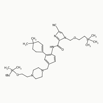 CC1(C)CC=C(c2cc(CN3CCN(CCO[Si](C)(C)C(C)(C)C)CC3)ccc2NC(=O)c2nc(C#N)cn2COCC[Si](C)(C)C)CC1